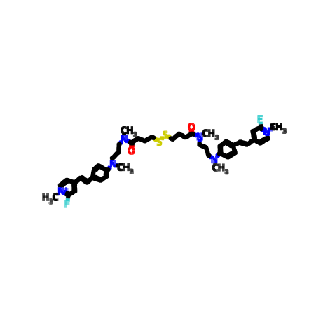 CN(CCCN(C)c1ccc(/C=C/c2cc[n+](C)c(F)c2)cc1)C(=O)CCCSSCCCC(=O)N(C)CCCN(C)c1ccc(/C=C/c2cc[n+](C)c(F)c2)cc1